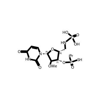 COC1[C@@H](OP(=O)(S)C(C)C)[C@@H](CNP(=O)(O)O)O[C@H]1n1ccc(=O)[nH]c1=O